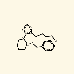 ClCCCCc1nnnn1[C@@H]1CCCC[C@H]1OCc1ccccc1